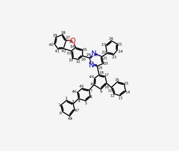 c1ccc(-c2ccc(-c3cc(-c4ccccc4)cc(-c4cc(-c5ccccc5)nc(-c5ccc6c(c5)oc5ccccc56)n4)c3)cc2)cc1